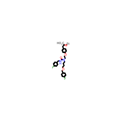 CCOC(Cc1ccc(OCCN(CCCCOCc2ccc(F)cc2)C(=O)NCc2ccc(F)cc2)cc1)C(=O)O